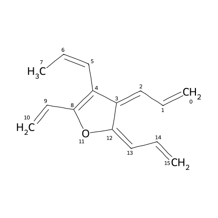 C=C/C=c1/c(/C=C\C)c(C=C)o/c1=C/C=C